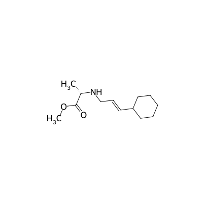 COC(=O)[C@H](C)NC/C=C/C1CCCCC1